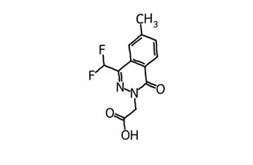 Cc1ccc2c(=O)n(CC(=O)O)nc(C(F)F)c2c1